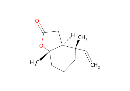 C=C[C@]1(C)CCC[C@]2(C)OC(=O)C[C@@H]12